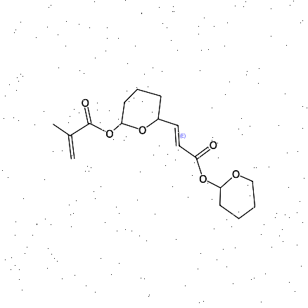 C=C(C)C(=O)OC1CCCC(/C=C/C(=O)OC2CCCCO2)O1